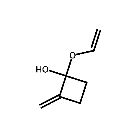 C=COC1(O)CCC1=C